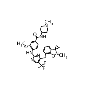 COc1cc(C(=O)NC2CCN(C)CC2)ccc1Nc1ncc(C(F)(F)F)c(Cc2cccc3c2ON(C)C32CC2)n1